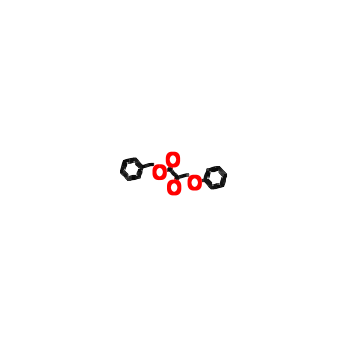 O=C(COc1ccccc1)C(=O)OCc1ccccc1